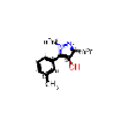 CCCc1nn(CCC)c(-c2cccc(C)c2)c1O